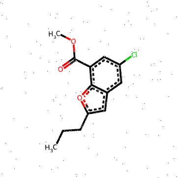 CCCc1cc2cc(Cl)cc(C(=O)OC)c2o1